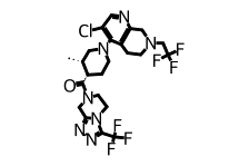 C[C@@H]1CN(c2c(Cl)cnc3c2CCN(CC(F)(F)F)C3)CC[C@@H]1C(=O)N1CCn2c(nnc2C(F)(F)F)C1